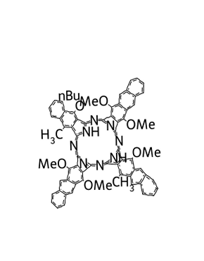 CCCCOc1c2ccccc2c(C)c2c3nc4nc(nc5[nH]c(nc6nc(nc([nH]3)c12)-c1c-6c(OC)c2cc3ccccc3cc2c1OC)c1c(OC)c2cc3ccccc3cc2c(C)c51)-c1c-4c(OC)c2cc3ccccc3cc2c1OC